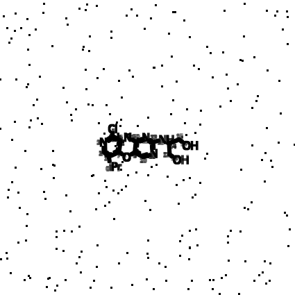 CC(C)c1cnc(Cl)cc1Oc1cnc(NC(CO)CO)nc1N